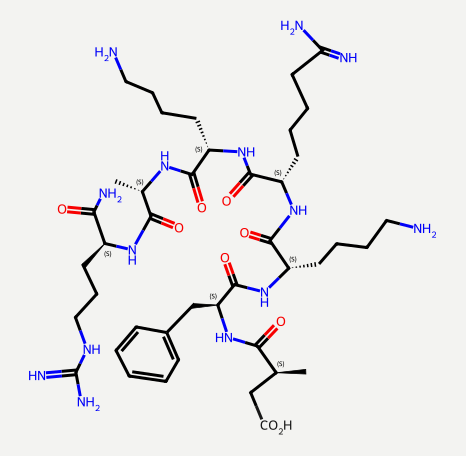 C[C@H](NC(=O)[C@H](CCCCN)NC(=O)[C@H](CCCCC(=N)N)NC(=O)[C@H](CCCCN)NC(=O)[C@H](Cc1ccccc1)NC(=O)[C@@H](C)CC(=O)O)C(=O)N[C@@H](CCCNC(=N)N)C(N)=O